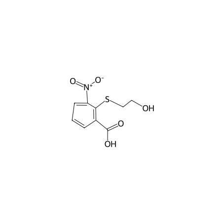 O=C(O)c1cccc([N+](=O)[O-])c1SCCO